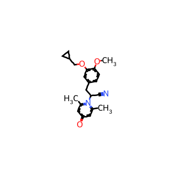 COc1ccc(CC(C#N)n2c(C)cc(=O)cc2C)cc1OCC1CC1